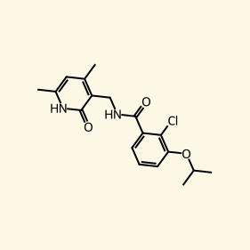 Cc1cc(C)c(CNC(=O)c2cccc(OC(C)C)c2Cl)c(=O)[nH]1